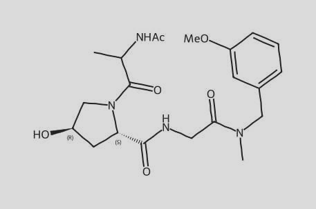 COc1cccc(CN(C)C(=O)CNC(=O)[C@@H]2C[C@@H](O)CN2C(=O)C(C)NC(C)=O)c1